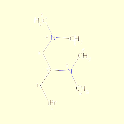 CC(C)CC(CN(C)C)N(C)C